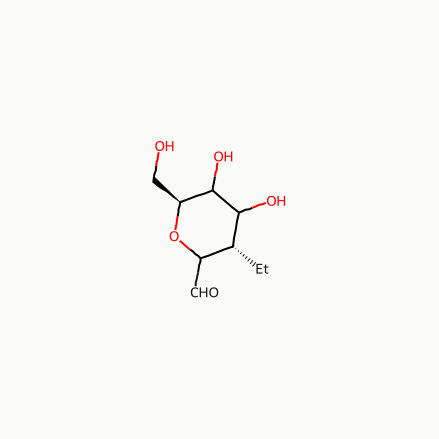 CC[C@@H]1C(C=O)O[C@@H](CO)C(O)C1O